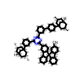 C[C@@H]1C[C@@H]2C[C@H](C)CC(c3ccc(-c4cccc(-c5nc(-c6cccc(C78C[C@H](C)C[C@H](C[C@H](C)C7)C8)c6)nc(-c6ccc7c(c6)-c6ccccc6C76c7ccccc7-c7ccc(C#N)cc76)n5)c4)cc3)(C1)C2